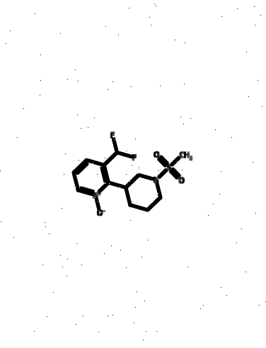 CS(=O)(=O)N1CCCC(c2c(C(F)F)ccc[n+]2[O-])C1